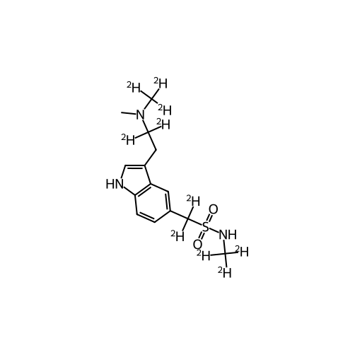 [2H]C([2H])([2H])NS(=O)(=O)C([2H])([2H])c1ccc2[nH]cc(CC([2H])([2H])N(C)C([2H])([2H])[2H])c2c1